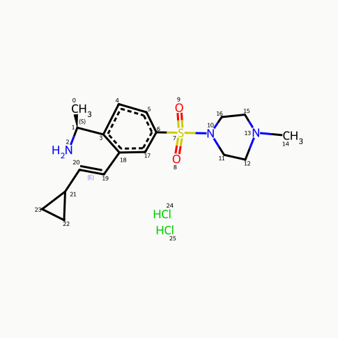 C[C@H](N)c1ccc(S(=O)(=O)N2CCN(C)CC2)cc1/C=C/C1CC1.Cl.Cl